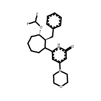 O=c1cc(N2CCOCC2)cc(C2CCCC[C@H](OC(F)F)[C@H]2Cc2ccccc2)[nH]1